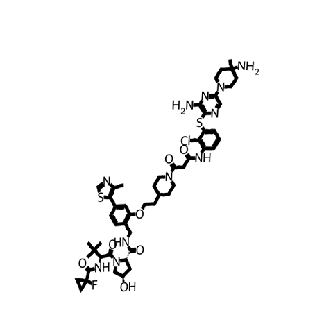 Cc1ncsc1-c1ccc(CNC(=O)[C@@H]2C[C@@H](O)CN2C(=O)[C@@H](NC(=O)C2(F)CC2)C(C)(C)C)c(OCCC2CCN(C(=O)CC(=O)Nc3cccc(Sc4ncc(N5CCC(C)(N)CC5)nc4N)c3Cl)CC2)c1